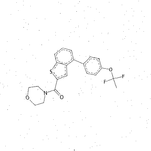 CC(F)(F)Oc1ccc(-c2cccc3sc(C(=O)N4CCOCC4)cc23)cc1